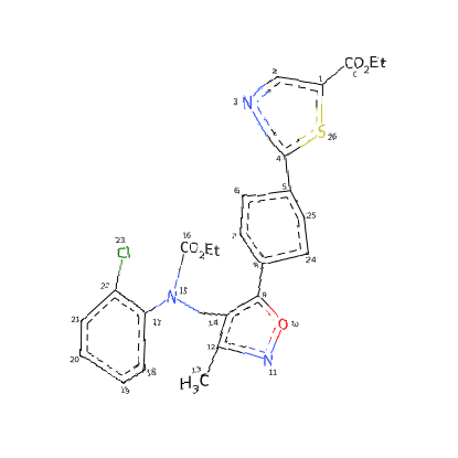 CCOC(=O)c1cnc(-c2ccc(-c3onc(C)c3N(C(=O)OCC)c3ccccc3Cl)cc2)s1